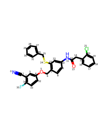 N#Cc1cc(OCc2ccc(NC(=O)Cc3ccccc3Cl)cc2SCc2ccccc2)ccc1F